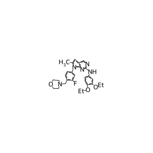 CCOc1ccc(Nc2ncc3cc(C)n(-c4ccc(CN5CCOCC5)c(F)c4)c3n2)cc1OCC